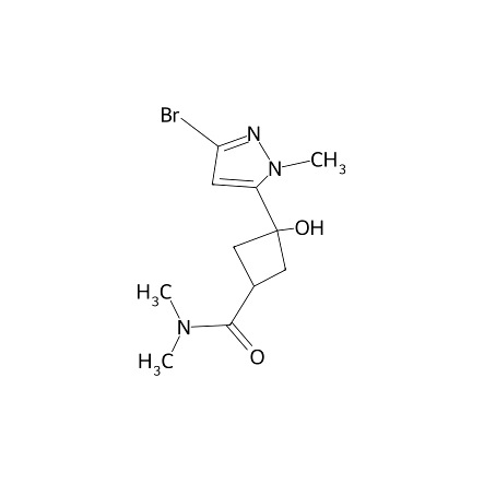 CN(C)C(=O)C1CC(O)(c2cc(Br)nn2C)C1